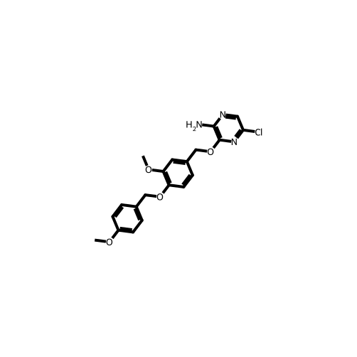 COc1ccc(COc2ccc(COc3nc(Cl)cnc3N)cc2OC)cc1